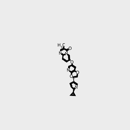 Cc1cnc2ccc(Oc3cnc4c(c3)OC[C@@H](c3ccc(C5CC5)nc3)O4)cn2c1=O